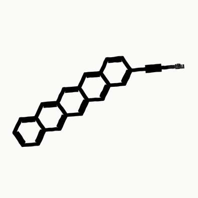 CC(C)(C)C#Cc1ccc2cc3cc4cc5ccccc5cc4cc3cc2c1